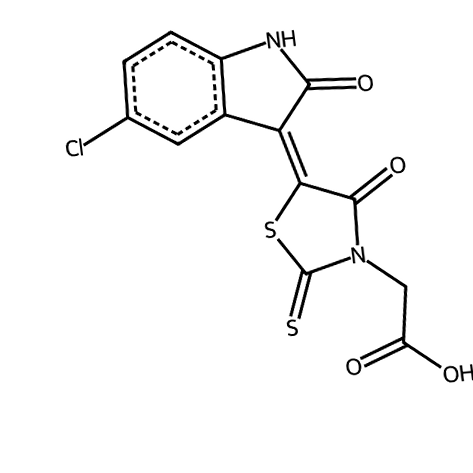 O=C(O)CN1C(=O)/C(=C2\C(=O)Nc3ccc(Cl)cc32)SC1=S